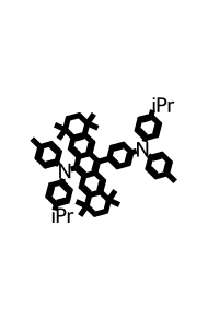 Cc1ccc(N(c2ccc(-c3c4cc5c(cc4c(N(c4ccc(C)cc4)c4ccc(C(C)C)cc4)c4cc6c(cc34)C(C)(C)CCC6(C)C)C(C)(C)CCC5(C)C)cc2)c2ccc(C(C)C)cc2)cc1